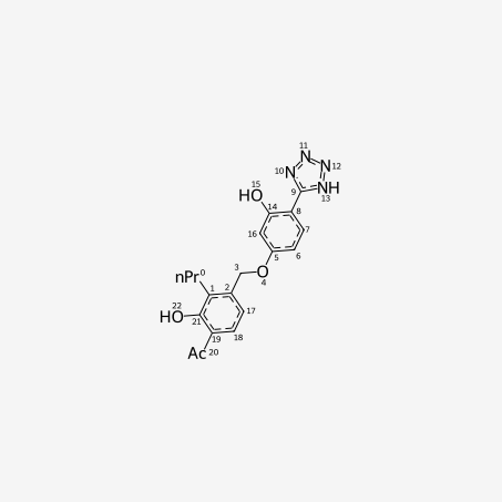 CCCc1c(COc2ccc(-c3nnn[nH]3)c(O)c2)ccc(C(C)=O)c1O